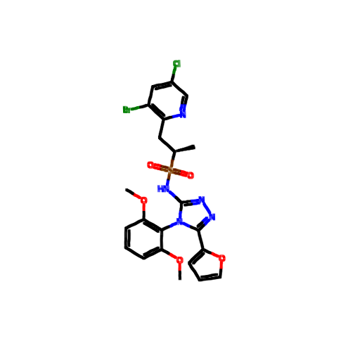 COc1cccc(OC)c1-n1c(NS(=O)(=O)[C@H](C)Cc2ncc(Cl)cc2Br)nnc1-c1ccco1